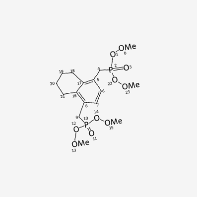 COOP(=O)(Cc1ccc(CP(=O)(OOC)OOC)c2c1CCCC2)OOC